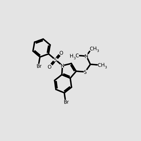 CC(Sc1cn(S(=O)(=O)c2ccccc2Br)c2ccc(Br)cc12)N(C)C